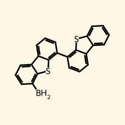 Bc1cccc2c1sc1c(-c3cccc4c3sc3ccccc34)cccc12